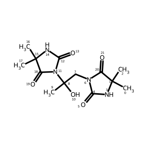 CC1(C)NC(=O)N(CC(C)(O)N2C(=O)NC(C)(C)C2=O)C1=O